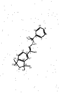 CC(=COC(=O)c1ccccc1)c1ccc2c(c1)C(C)(C)CC2(C)C